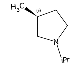 CC(C)N1CC[C@H](C)C1